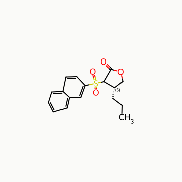 CCC[C@H]1COC(=O)C1S(=O)(=O)c1ccc2ccccc2c1